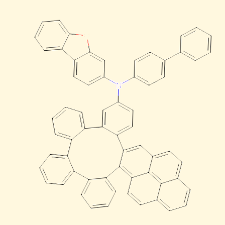 c1ccc(-c2ccc(N(c3ccc4c(c3)oc3ccccc34)c3ccc4c(c3)c3ccccc3c3ccccc3c3ccccc3c3c4cc4ccc5cccc6ccc3c4c56)cc2)cc1